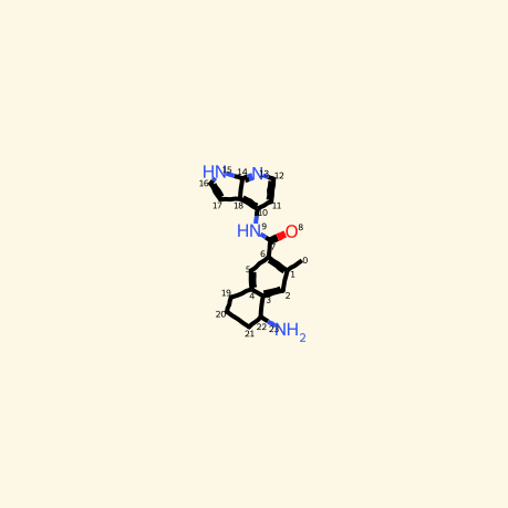 Cc1cc2c(cc1C(=O)Nc1ccnc3[nH]ccc13)CCCC2N